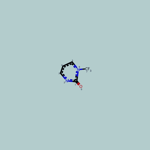 O=c1ncccn1C(F)(F)F